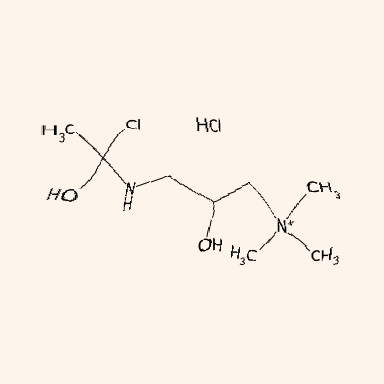 CC(O)(Cl)NCC(O)C[N+](C)(C)C.Cl